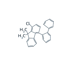 CC1(C)c2ccccc2-c2c(-c3ccccc3-c3ccccc3)ccc(Cl)c21